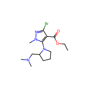 CCOC(=O)c1c(Br)nn(C)c1N1CCCC1CN(C)C